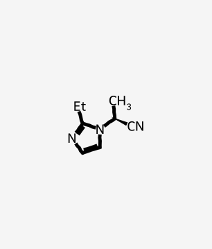 CCc1nccn1[C@@H](C)C#N